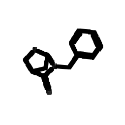 O=C1C2CSC(C2)N1Cc1ccccc1